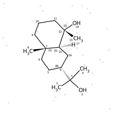 CC(C)(O)[C@@H]1CC[C@]2(C)CCC[C@](C)(O)[C@H]2C1